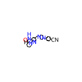 N#Cc1ccc(N2CCN(Cc3cnc4c(c3)NC(=O)[C@@H]3CCCCN43)CC2)cc1